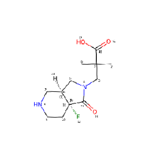 CC(C)(CN1C[C@@H]2CNCC[C@]2(F)C1=O)C(=O)O